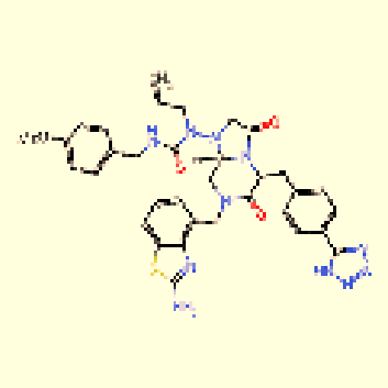 C=CCN(C(=O)NCc1ccc(OC)cc1)N1CC(=O)N2[C@@H](Cc3ccc(-c4nnn[nH]4)cc3)C(=O)N(Cc3cccc4sc(N)nc34)C[C@@H]21